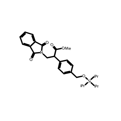 COC(=O)C(CN1C(=O)c2ccccc2C1=O)c1ccc(CO[Si](C(C)C)(C(C)C)C(C)C)cc1